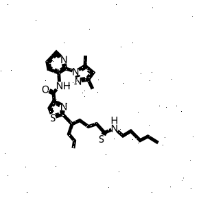 CCCCCNC(=S)CCCC(CCC)c1nc(C(=O)Nc2cccnc2-n2nc(C)cc2C)cs1